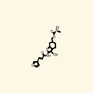 CCN(C)C(=O)OCC1CCc2c(sc(NC(=O)C=Cc3ccoc3)c2C#N)C1